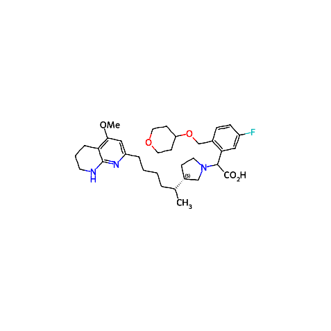 COc1cc(CCCCC(C)[C@@H]2CCN(C(C(=O)O)c3cc(F)ccc3COC3CCOCC3)C2)nc2c1CCCN2